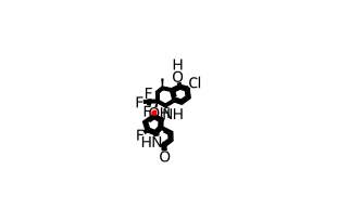 C[C@@H]1C[C@@](O)(C(F)(F)F)[C@H](Nc2ccc(F)c3[nH]c(=O)ccc23)c2ccc(Cl)c(O)c21